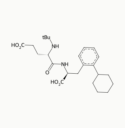 CC(C)(C)N[C@@H](CCC(=O)O)C(=O)N[C@@H](Cc1ccccc1C1CCCCC1)C(=O)O